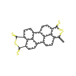 C=c1sc(=S)c2ccc3c4ccc5c6c(ccc(c7ccc1c2c73)c64)C(=S)SC5=S